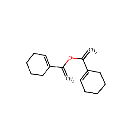 C=C(OC(=C)C1=CCCCC1)C1=CCCCC1